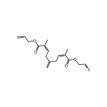 C=C(CC=C(C)C(=O)OCC=S)CC=C(C)C(=O)OCC=S